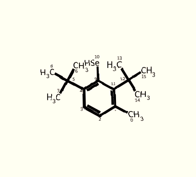 Cc1ccc(C(C)(C)C)c([SeH])c1C(C)(C)C